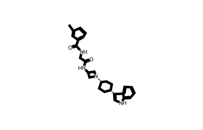 Cc1cccc(C(=O)NCC(=O)NC2CN([C@H]3CC[C@@H](c4c[nH]c5ccccc54)CC3)C2)c1